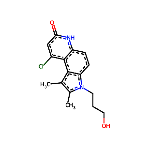 Cc1c(C)n(CCCO)c2ccc3[nH]c(=O)cc(Cl)c3c12